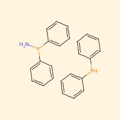 NP(c1ccccc1)c1ccccc1.c1ccc(Pc2ccccc2)cc1